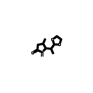 CC1CC(=O)NC1C(C)C1OCCO1